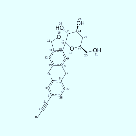 CC#Cc1ccc(Cc2cc3c(cc2C)CO[C@]32O[C@H](CO)C[C@H](O)[C@H]2O)cc1